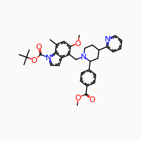 COC(=O)c1ccc(C2CC(c3ccccn3)CCN2Cc2c(OC)cc(C)c3c2ccn3C(=O)OC(C)(C)C)cc1